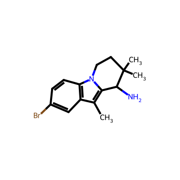 Cc1c2n(c3ccc(Br)cc13)CCC(C)(C)C2N